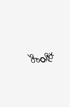 CCOC(=O)COc1ccc(N(CC)C(=O)OC(C)(C)C)cc1